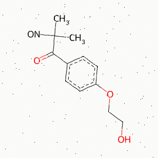 CC(C)(N=O)C(=O)c1ccc(OCCO)cc1